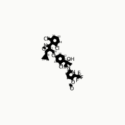 O=COc1ccc(N2CC(O)(c3ccc(OCc4c(-c5c(Cl)cccc5Cl)noc4C4CC4)cc3Cl)C2)nc1C(F)(F)F